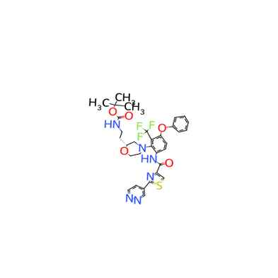 CC(C)(C)OC(=O)NCC[C@@H]1CN(c2c(NC(=O)c3csc(-c4ccnnc4)n3)ccc(Oc3ccccc3)c2C(F)(F)F)CCO1